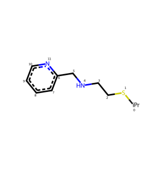 CC(C)SCCNCc1ccccn1